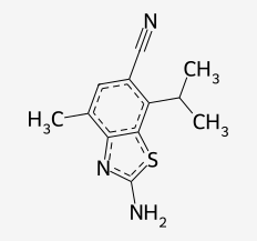 Cc1cc(C#N)c(C(C)C)c2sc(N)nc12